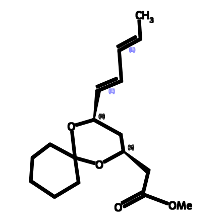 C/C=C/C=C/[C@H]1C[C@@H](CC(=O)OC)OC2(CCCCC2)O1